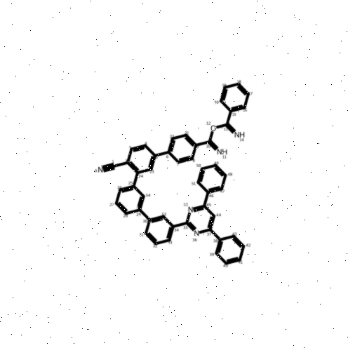 N#Cc1ccc(-c2ccc(C(=N)OC(=N)c3ccccc3)cc2)cc1-c1cccc(-c2cccc(-c3nc(-c4ccccc4)cc(-c4ccccc4)n3)c2)c1